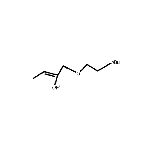 CC=C(O)COCCCCCC